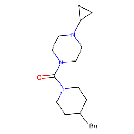 CC(C)(C)C1CCN(C(=O)N2CCN(C3CC3)CC2)CC1